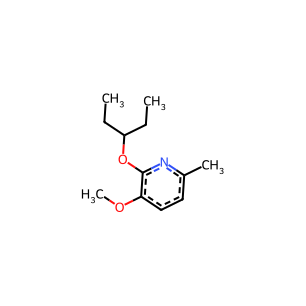 CCC(CC)Oc1nc(C)ccc1OC